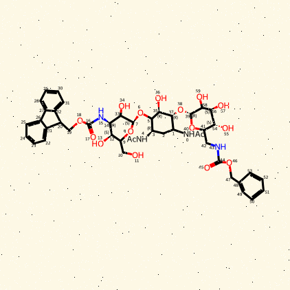 CC(=O)NC1C[C@@H](NC(C)=O)C(O[C@H]2OC(CO)[C@@H](O)[C@@H](NC(=O)OCC3c4ccccc4-c4ccccc43)C2O)[C@@H](O)[C@@H]1O[C@H]1OC(CNC(=O)OCc2ccccc2)[C@@H](O)[C@H](O)C1O